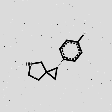 Fc1ccc([C@@H]2CC23CCNC3)cc1